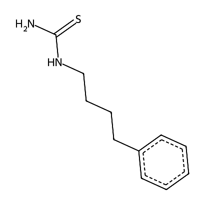 NC(=S)NCCCCc1ccccc1